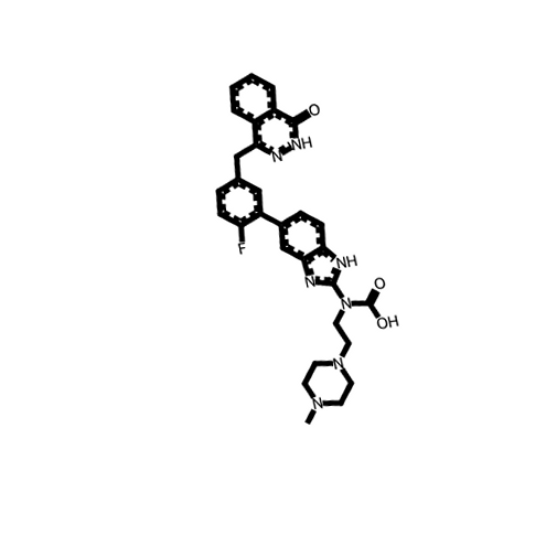 CN1CCN(CCN(C(=O)O)c2nc3cc(-c4cc(Cc5n[nH]c(=O)c6ccccc56)ccc4F)ccc3[nH]2)CC1